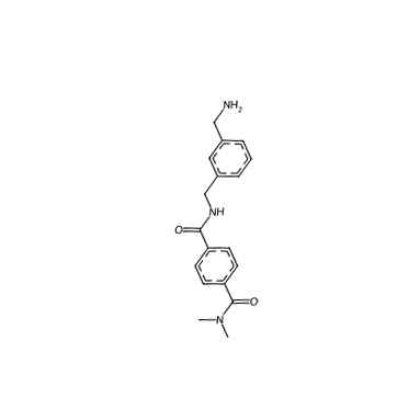 CN(C)C(=O)c1ccc(C(=O)NCc2cccc(CN)c2)cc1